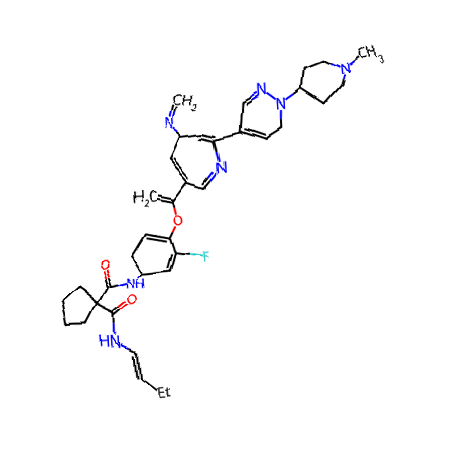 C=NC1C=C(C(=C)OC2=CCC(NC(=O)C3(C(=O)N/C=C/CC)CCCC3)C=C2F)C=NC(C2=CCN(C3CCN(C)CC3)N=C2)=C1